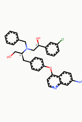 Nc1ccc2c(Oc3ccc(C[C@@H](CO)N(Cc4ccccc4)C[C@@H](O)c4cccc(Cl)c4)cc3)ccnc2c1